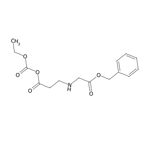 CCOC(=O)OC(=O)CCNCC(=O)OCc1ccccc1